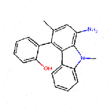 Cc1cc(N)c2c(c1-c1ccccc1O)c1ccccc1n2C